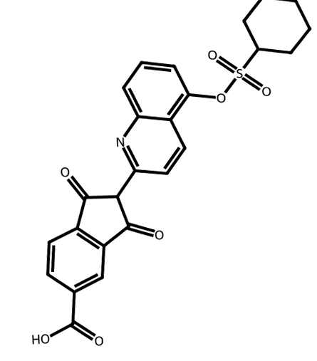 O=C(O)c1ccc2c(c1)C(=O)C(c1ccc3c(OS(=O)(=O)C4CCCCC4)cccc3n1)C2=O